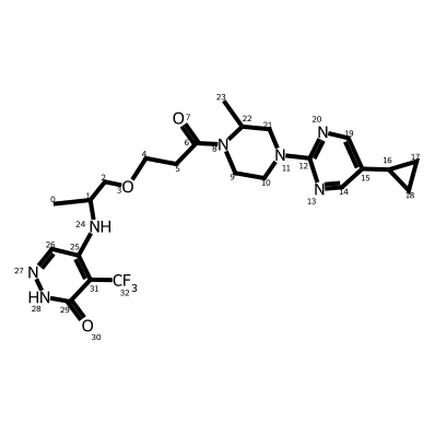 CC(COCCC(=O)N1CCN(c2ncc(C3CC3)cn2)CC1C)Nc1cn[nH]c(=O)c1C(F)(F)F